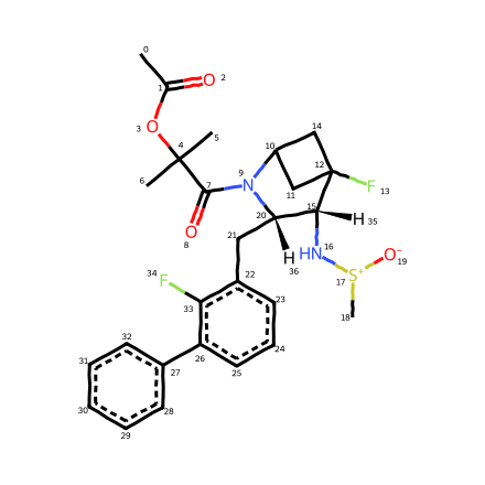 CC(=O)OC(C)(C)C(=O)N1C2CC(F)(C2)[C@H](N[S+](C)[O-])[C@@H]1Cc1cccc(-c2ccccc2)c1F